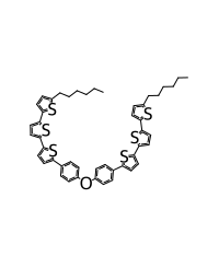 CCCCCCc1ccc(-c2ccc(-c3ccc(-c4ccc(Oc5ccc(-c6ccc(-c7ccc(-c8ccc(CCCCCC)s8)s7)s6)cc5)cc4)s3)s2)s1